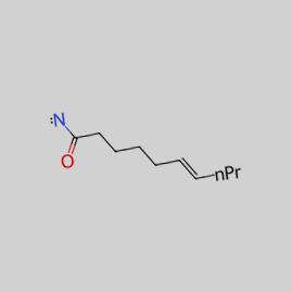 CCCC=CCCCCC([N])=O